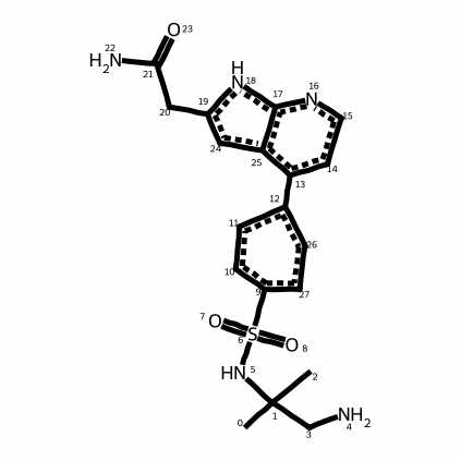 CC(C)(CN)NS(=O)(=O)c1ccc(-c2ccnc3[nH]c(CC(N)=O)cc23)cc1